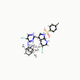 Cc1ccc(S(=O)(=O)n2cc(-c3ncc(F)c(N[C@H]4[C@H]5CC[C@H](CC5)[C@@H]4C(=O)O)n3)c3cc(F)cnc32)cc1